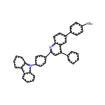 CC(C)(C)c1ccc(-c2ccc3nc(-c4ccc(-n5c6ccccc6c6ccccc65)cc4)cc(-c4ccccc4)c3c2)cc1